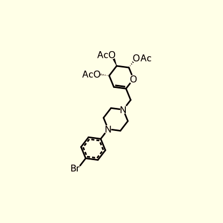 CC(=O)O[C@@H]1OC(CN2CCN(c3ccc(Br)cc3)CC2)=C[C@H](OC(C)=O)[C@H]1OC(C)=O